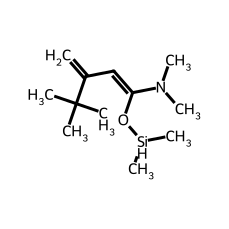 C=C(/C=C(\O[SiH](C)C)N(C)C)C(C)(C)C